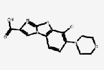 O=C(O)c1cn2c(n1)sc1c(Cl)c(N3CCOCC3)ccc12